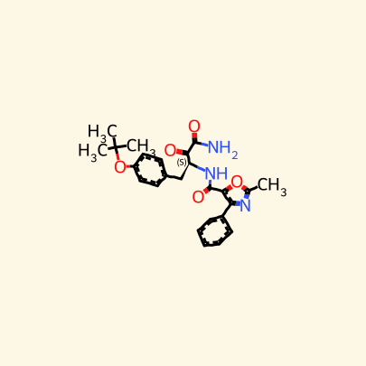 Cc1nc(-c2ccccc2)c(C(=O)N[C@@H](Cc2ccc(OC(C)(C)C)cc2)C(=O)C(N)=O)o1